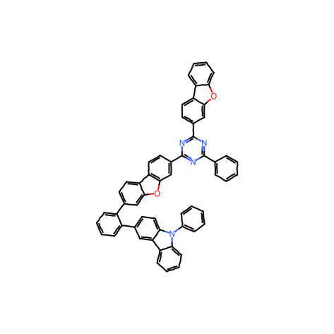 c1ccc(-c2nc(-c3ccc4c(c3)oc3ccccc34)nc(-c3ccc4c(c3)oc3cc(-c5ccccc5-c5ccc6c(c5)c5ccccc5n6-c5ccccc5)ccc34)n2)cc1